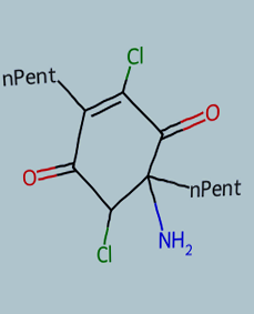 CCCCCC1=C(Cl)C(=O)C(N)(CCCCC)C(Cl)C1=O